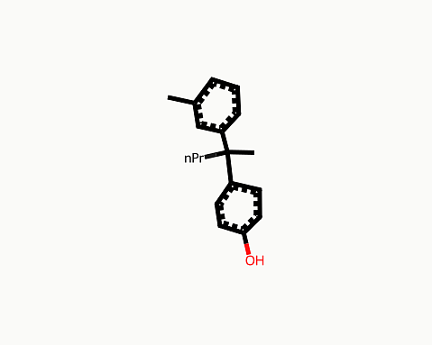 CCCC(C)(c1ccc(O)cc1)c1cccc(C)c1